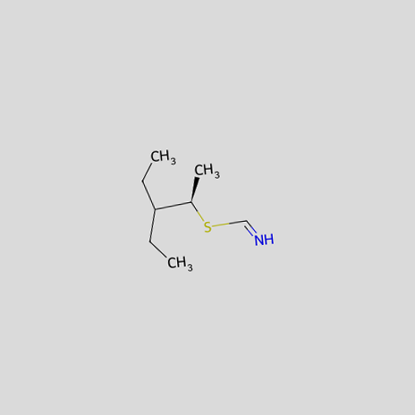 CCC(CC)[C@@H](C)SC=N